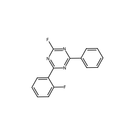 Fc1nc(-c2ccccc2)nc(-c2ccccc2F)n1